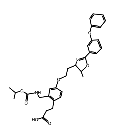 CC(C)OC(=O)NCc1cc(OCCC2N=C(c3cccc(Oc4ccccc4)c3)OC2C)ccc1CCC(=O)O